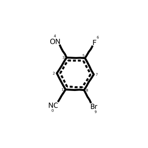 N#Cc1cc(N=O)c(F)cc1Br